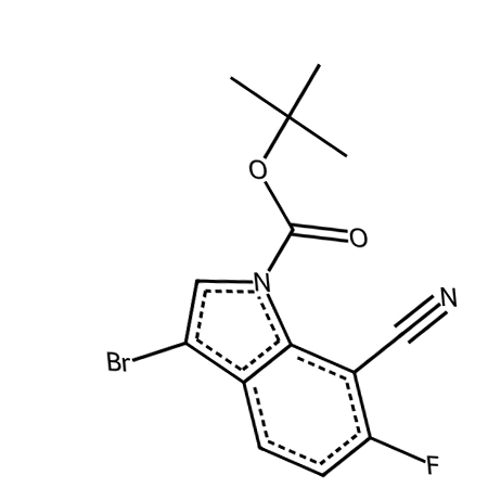 CC(C)(C)OC(=O)n1cc(Br)c2ccc(F)c(C#N)c21